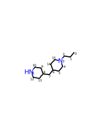 CCCN1CCC(CC2CCNCC2)CC1